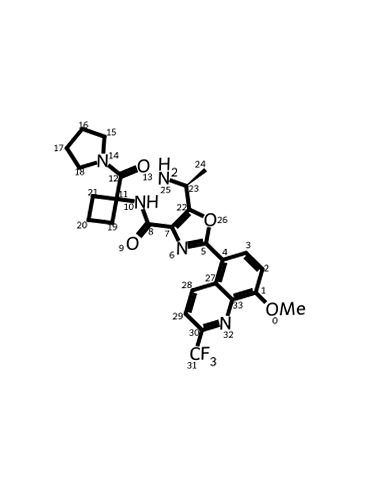 COc1ccc(-c2nc(C(=O)NC3(C(=O)N4CCCC4)CCC3)c([C@H](C)N)o2)c2ccc(C(F)(F)F)nc12